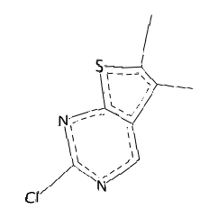 Cc1sc2nc(Cl)ncc2c1C